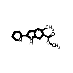 COC(=O)c1cc2[nH]c(-c3ccccn3)cc2cc1C